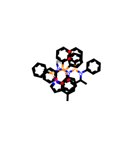 Cc1cc(C(C)N(c2ccccc2)P(c2ccccc2)N(C(C)C)P(c2ccccc2)c2ccccc2)cc2c1ccn2P(c1ccccc1)N(C(C)C)P(c1ccccc1)c1ccccc1